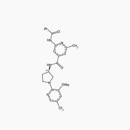 COc1cc(C(F)(F)F)cnc1N1CC[C@@H](NC(=O)c2cc(C)nc(NC(=O)C(C)C)c2)C1